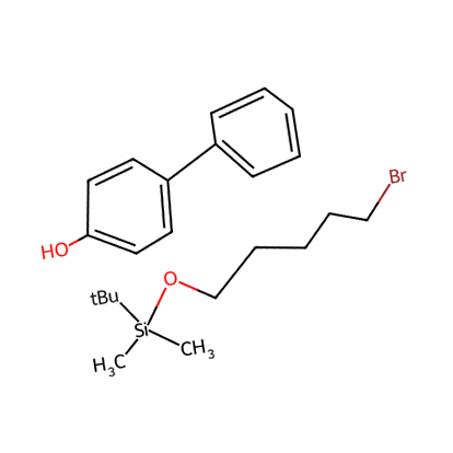 CC(C)(C)[Si](C)(C)OCCCCCBr.Oc1ccc(-c2ccccc2)cc1